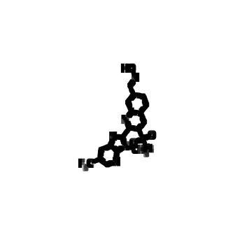 CCS(=O)(=O)c1cc2ccc(C=NO)cc2nc1-c1nc2cc(C(F)(F)F)cnc2n1C